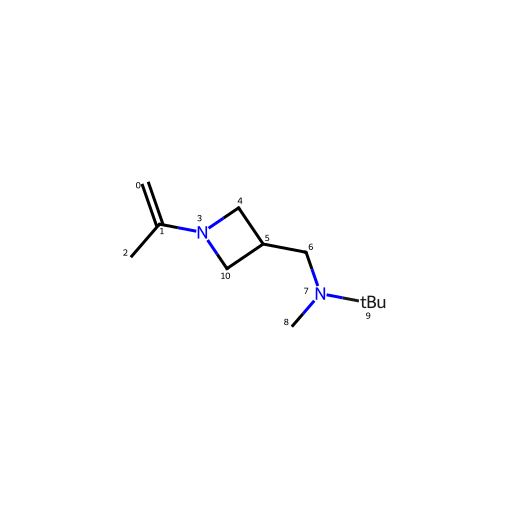 C=C(C)N1CC(CN(C)C(C)(C)C)C1